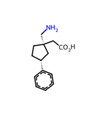 NC[C@@]1(CC(=O)O)CC[C@@H](c2ccccc2)C1